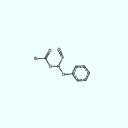 CCC(=O)ON(Oc1ccccc1)P=O